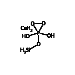 OP1(O)(O[SiH3])OO1.[CaH2]